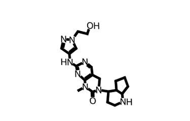 CN1C(=O)N(C2CCNC3CCCC32)Cc2cnc(Nc3cnn(CCO)c3)nc21